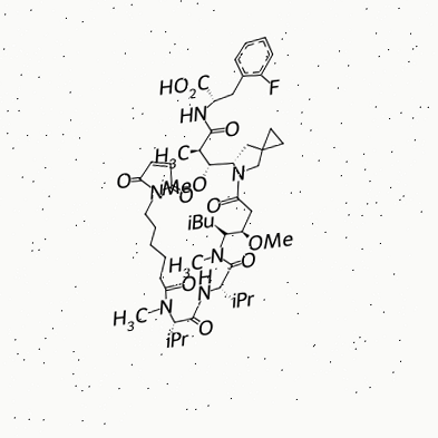 CC[C@H](C)C([C@@H](CC(=O)N1CC2(CC2)C[C@H]1[C@H](OC)[C@@H](C)C(=O)N[C@@H](Cc1ccccc1F)C(=O)O)OC)N(C)C(=O)[C@@H](NC(=O)[C@H](C(C)C)N(C)C(=O)CCCCCN1C(=O)C=CC1=O)C(C)C